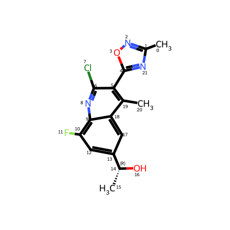 Cc1noc(-c2c(Cl)nc3c(F)cc([C@@H](C)O)cc3c2C)n1